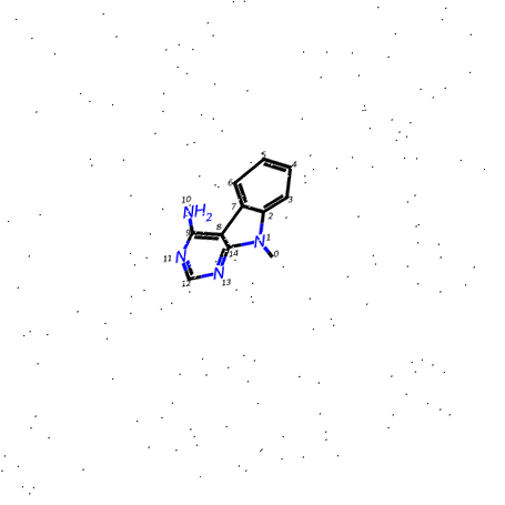 Cn1c2ccccc2c2c(N)ncnc21